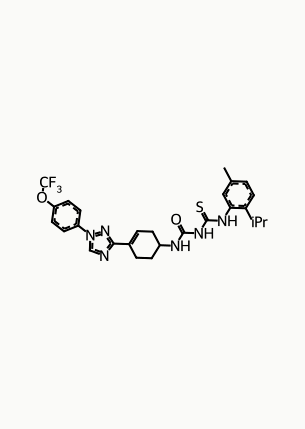 Cc1ccc(C(C)C)c(NC(=S)NC(=O)NC2CC=C(c3ncn(-c4ccc(OC(F)(F)F)cc4)n3)CC2)c1